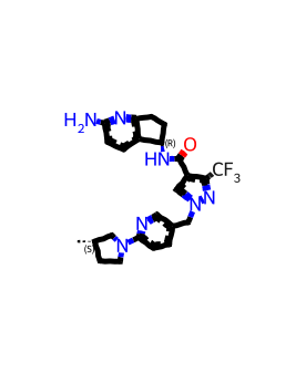 C[C@H]1CCN(c2ccc(Cn3cc(C(=O)N[C@@H]4CCc5nc(N)ccc54)c(C(F)(F)F)n3)cn2)C1